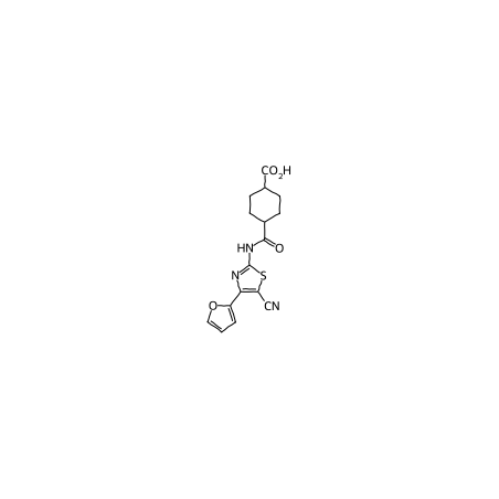 N#Cc1sc(NC(=O)C2CCC(C(=O)O)CC2)nc1-c1ccco1